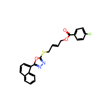 O=C(OCC=CCSc1nnc(-c2cccc3ccccc23)o1)c1ccc(F)cc1